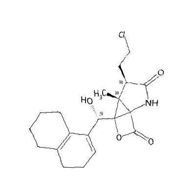 C[C@@]12[C@@H](CCCl)C(=O)NC13C(=O)OC32[C@@H](O)C1=CCCC2=C1CCCC2